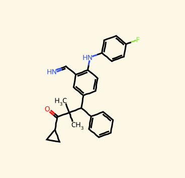 CC(C)(C(=O)C1CC1)C(c1ccccc1)c1ccc(Nc2ccc(F)cc2)c(C=N)c1